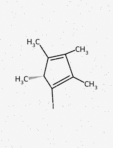 CC1=C(C)[C@@H](C)C(I)=C1C